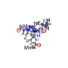 CNC(=O)c1ccc2c(c1)CCc1cc(C(=O)NC)ccc1C2(C[C@H](C)NCC(=O)N1[C@H](C#N)C[C@@H]2C[C@@H]21)c1nnn[nH]1